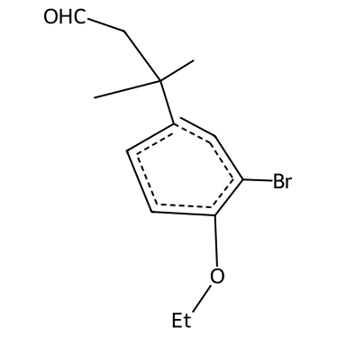 CCOc1ccc(C(C)(C)CC=O)cc1Br